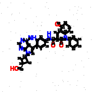 Nc1ncnc2c1c(-c1ccc(NC(=O)c3cc4c(n(-c5ccccc5)c3=O)CCCC4=O)cc1)cn2[C@H]1C[C@@H](CO)C1